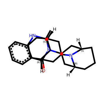 C=C1Nc2ccccc2C(=O)N1C1C[C@H]2CCC[C@@H](C1)N2C1C[C@H]2CCC[C@@H](C1)C2